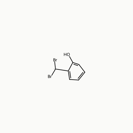 Oc1ccccc1[C](Br)Br